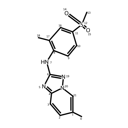 Cc1ccc2nc(Nc3ccc(S(C)(=O)=O)cc3C)nn2c1